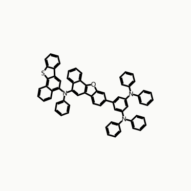 c1ccc(N(c2ccccc2)c2cc(-c3ccc4c(c3)oc3c5ccccc5c(N(c5ccccc5)c5cc6c7ccccc7sc6c6ccccc56)cc43)cc(N(c3ccccc3)c3ccccc3)c2)cc1